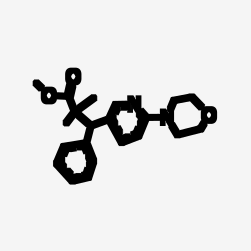 COC(=O)C(C)(C)C(c1ccccc1)c1ccc(N2CCOCC2)nc1